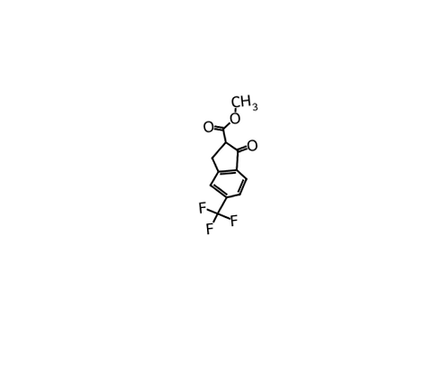 COC(=O)C1Cc2cc(C(F)(F)F)ccc2C1=O